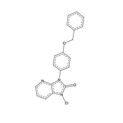 CCn1c(=O)n(-c2ccc(OCc3ccccc3)cc2)c2ncccc21